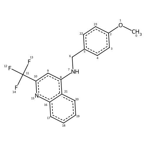 COc1ccc(CNc2cc(C(F)(F)F)nc3ccccc23)cc1